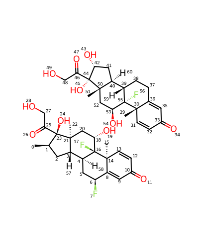 C[C@@H]1C[C@H]2[C@@H]3C[C@H](F)C4=CC(=O)C=C[C@]4(C)[C@@]3(F)[C@@H](O)C[C@]2(C)[C@@]1(O)C(=O)CO.C[C@]12C=CC(=O)C=C1CC[C@H]1[C@@H]3C[C@@H](O)[C@](O)(C(=O)CO)[C@@]3(C)C[C@H](O)[C@@]12F